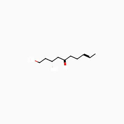 CC=CCCC(=O)C[C@H](O)CCO